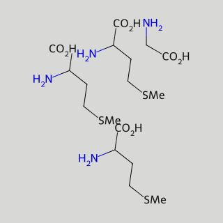 CSCCC(N)C(=O)O.CSCCC(N)C(=O)O.CSCCC(N)C(=O)O.NCC(=O)O